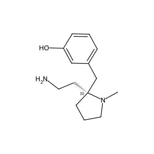 CN1CCC[C@@]1(CCN)Cc1cccc(O)c1